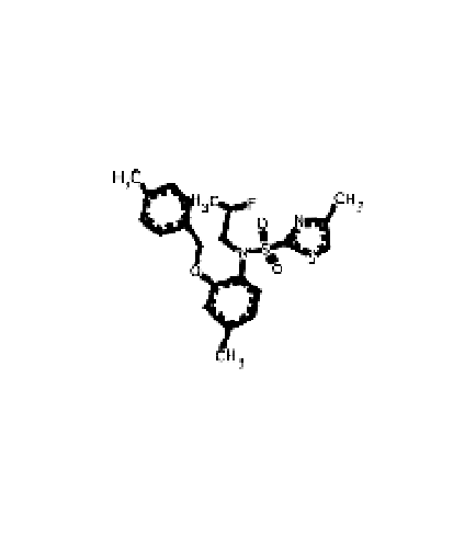 Cc1ccc(COc2cc(C)ccc2N(CC(C)F)S(=O)(=O)c2nc(C)cs2)cc1